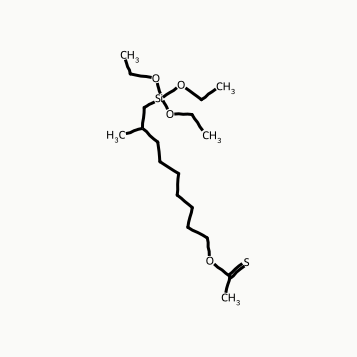 CCO[Si](CC(C)CCCCCCCOC(C)=S)(OCC)OCC